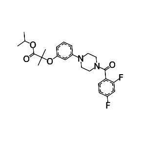 CC(C)OC(=O)C(C)(C)Oc1cccc(N2CCN(C(=O)c3ccc(F)cc3F)CC2)c1